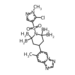 BC1(B)CC(c2cn3ncnc3cc2C)CC(B)(B)N1S(=O)(=O)c1cnn(C)c1Cl